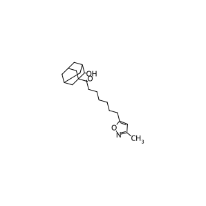 Cc1cc(CCCCCCC(=O)C23CC4CC(CC(C4)C2O)C3)on1